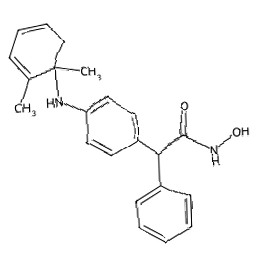 CC1=CC=CCC1(C)Nc1ccc(C(C(=O)NO)c2ccccc2)cc1